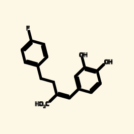 O=C(O)/C(=C/c1ccc(O)c(O)c1)CCc1ccc(F)cc1